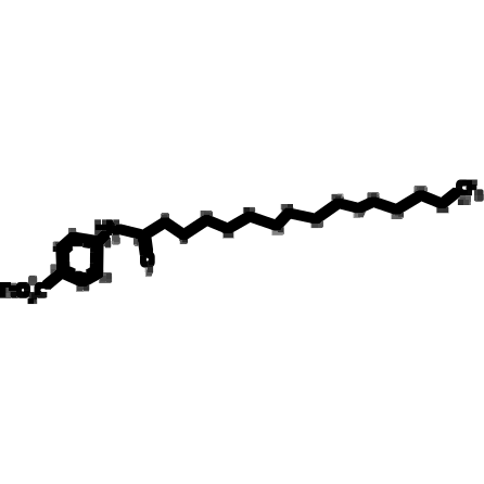 CCOC(=O)c1ccc(NC(=O)CCCCCCCCCCCCCCC(F)(F)F)cc1